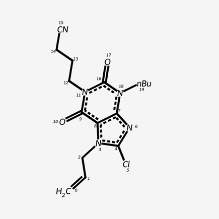 C=CCn1c(Cl)nc2c1c(=O)n(CCCC#N)c(=O)n2CCCC